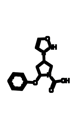 O=C(O)N1CC(N2C=CON2)CC1Oc1ccccc1